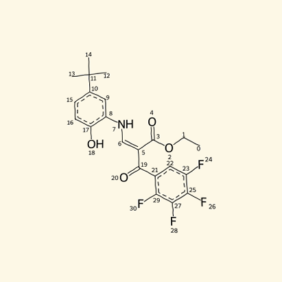 CCOC(=O)C(=CNc1cc(C(C)(C)C)ccc1O)C(=O)c1cc(F)c(F)c(F)c1F